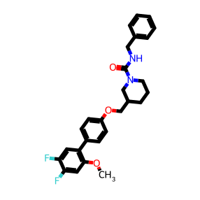 COc1cc(F)c(F)cc1-c1ccc(OCC2CCCN(C(=O)NCc3ccccc3)C2)cc1